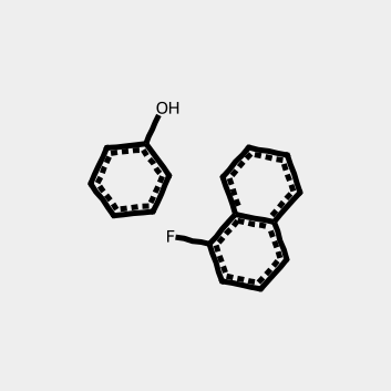 Fc1cccc2ccccc12.Oc1ccccc1